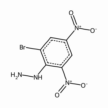 NNc1c(Br)cc([N+](=O)[O-])cc1[N+](=O)[O-]